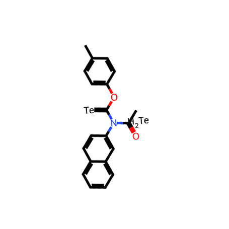 CC(=O)N(C(=[Te])Oc1ccc(C)cc1)c1ccc2ccccc2c1.[TeH2]